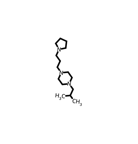 CC(C)CN1CCN(CCCN2CCCC2)CC1